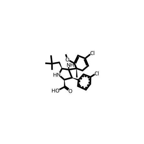 COC1=CC(Cl)=CC[C@]1(C)[C@@]1(N)[C@H](CC(C)(C)C)N[C@H](C(=O)O)[C@@H]1c1cccc(Cl)c1